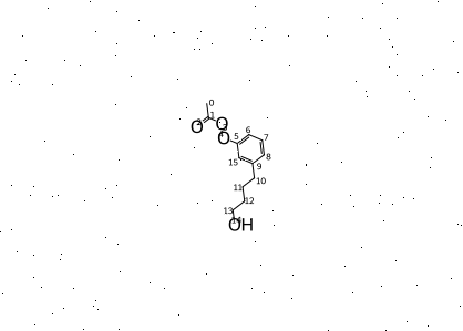 CC(=O)OOc1cccc(CCCCO)c1